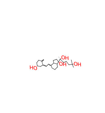 C=C1CC[C@H](O)C/C1=C/C=C1CCC[C@@]2(C)C1CC[C@]2(O)[C@@](C)(O)CCCC(C)(C)O